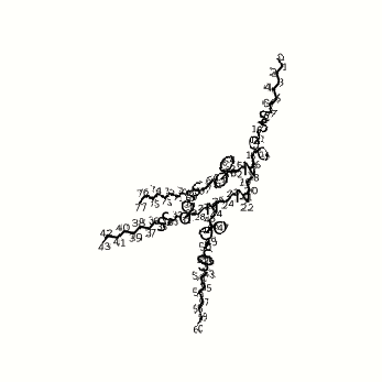 CCCCCCCCSSCCOC(=O)CCN(CCCN(C)CCCN(CCC(=O)OCCSSCCCCCCCC)CCC(=O)OCCSSCCCCCCCC)CCC(=O)OCCSSCCCCCCCC